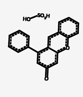 O=S(=O)(O)O.O=c1cc2oc3ccccc3cc-2c(-c2ccccc2)c1